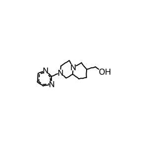 OCC1CCC2CN(c3ncccn3)CCN2C1